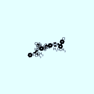 CN(C)C(CCNc1ccc(S(=O)(=O)NC(=O)c2ccc(N3CCN(CC4=C(c5ccc(Cl)cc5)CCC(C)(C)C4)CC3)cc2)cc1S(=O)(=O)C(F)(F)Cl)CSc1ccccc1